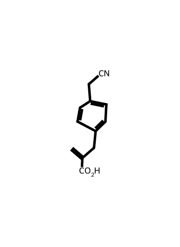 C=C(Cc1ccc(CC#N)cc1)C(=O)O